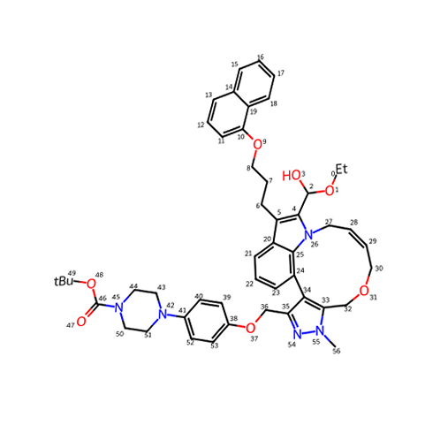 CCOC(O)c1c(CCCOc2cccc3ccccc23)c2cccc3c2n1C/C=C\COCc1c-3c(COc2ccc(N3CCN(C(=O)OC(C)(C)C)CC3)cc2)nn1C